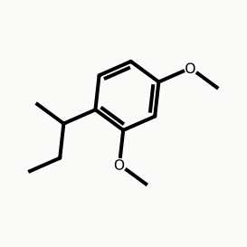 CCC(C)c1ccc(OC)cc1OC